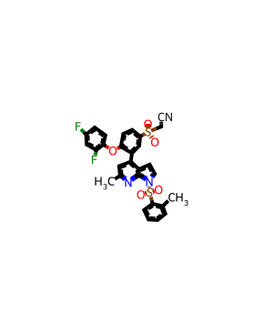 Cc1cc(-c2cc(S(=O)(=O)CC#N)ccc2Oc2ccc(F)cc2F)c2ccn(S(=O)(=O)c3ccccc3C)c2n1